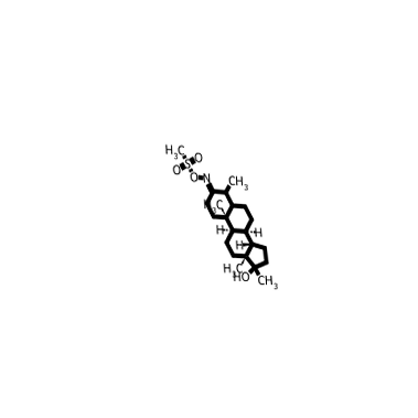 CC1/C(=N/OS(C)(=O)=O)CC[C@@]2(C)C1CC[C@@H]1[C@H]2CC[C@@]2(C)[C@H]1CCC2(C)O